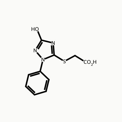 O=C(O)CSc1nc(O)nn1-c1ccccc1